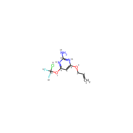 C=CCOc1cc(OC(F)(F)Cl)nc(N)n1